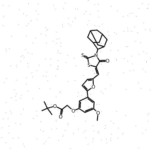 COc1cc(OCC(=O)OC(C)(C)C)cc(-c2ccc(C=C3SC(=S)N(C4C5CC6CC(C5)CC4C6)C3=O)o2)c1